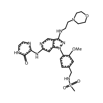 COc1cc(CNS(C)(=O)=O)ccc1-n1nc(NCCN2CCOCC2)c2cnc(Nc3ncc[nH]c3=O)cc21